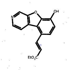 CCOC(=O)/C=C/c1ccc(O)c2oc3cnccc3c12